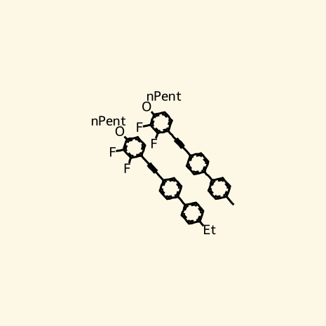 CCCCCOc1ccc(C#Cc2ccc(-c3ccc(C)cc3)cc2)c(F)c1F.CCCCCOc1ccc(C#Cc2ccc(-c3ccc(CC)cc3)cc2)c(F)c1F